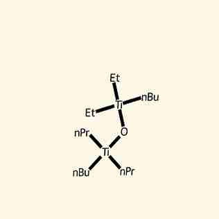 CCC[CH2][Ti]([CH2]C)([CH2]C)[O][Ti]([CH2]CC)([CH2]CC)[CH2]CCC